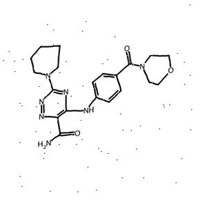 NC(=O)c1nnc(N2CCCCC2)nc1Nc1ccc(C(=O)N2CCOCC2)cc1